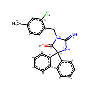 Cc1ccc(CN2C(=N)NC(c3ccccc3)(c3ccccc3)C2=O)c(Cl)c1